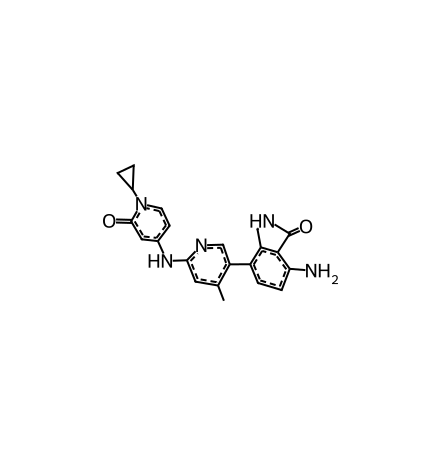 Cc1cc(Nc2ccn(C3CC3)c(=O)c2)ncc1-c1ccc(N)c2c1CNC2=O